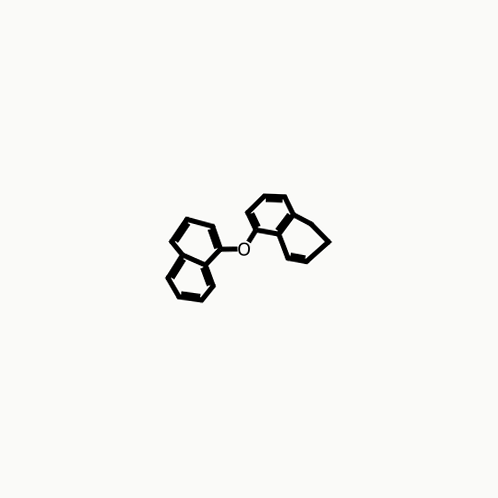 C1=Cc2c(cccc2Oc2cccc3ccccc23)CC1